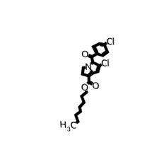 CCCCCCCCOC(=O)C1=C2C=C(Cl)C(C(=O)c3ccc(Cl)cc3)N2CC1